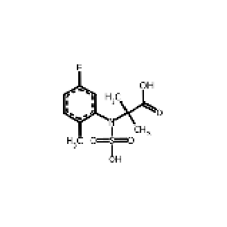 Cc1ccc(F)cc1N(C(C)(C)C(=O)O)S(=O)(=O)O